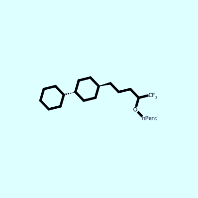 CCCCCOC(CCC[C@H]1CC[C@H](C2CCCCC2)CC1)C(F)(F)F